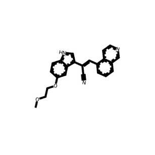 COCCOc1ccc2[nH]cc(C(C#N)=Cc3cccc4cnccc34)c2c1